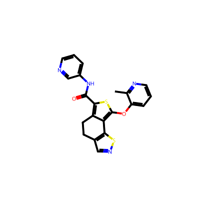 Cc1ncccc1Oc1sc(C(=O)Nc2cccnc2)c2c1-c1sncc1CC2